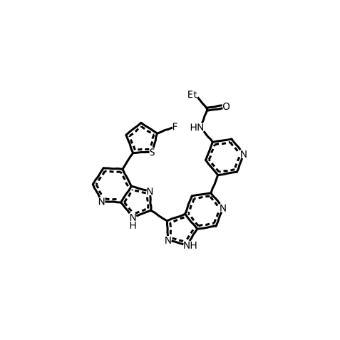 CCC(=O)Nc1cncc(-c2cc3c(-c4nc5c(-c6ccc(F)s6)ccnc5[nH]4)n[nH]c3cn2)c1